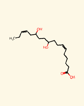 CC/C=C\CC(O)CCC(O)CC/C=C\CCCCC(=O)O